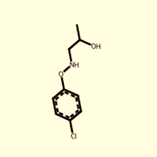 CC(O)CNOc1ccc(Cl)cc1